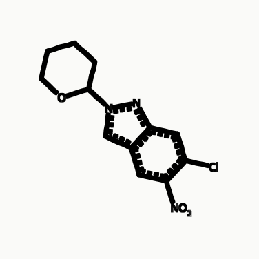 O=[N+]([O-])c1cc2cn(C3CCCCO3)nc2cc1Cl